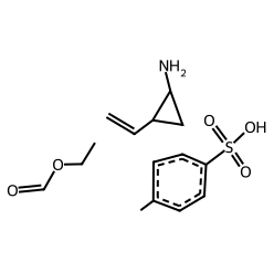 C=CC1CC1N.CCOC=O.Cc1ccc(S(=O)(=O)O)cc1